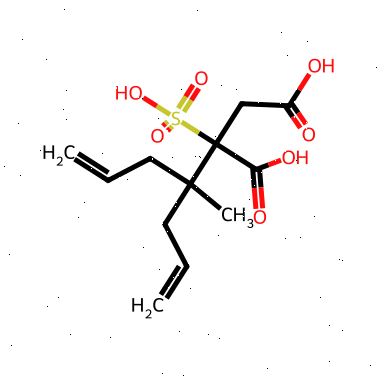 C=CCC(C)(CC=C)C(CC(=O)O)(C(=O)O)S(=O)(=O)O